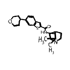 CC1(C)C(NC(=O)c2cc3ccc(C4CCOCC4)cc3s2)C2CCN1CC2